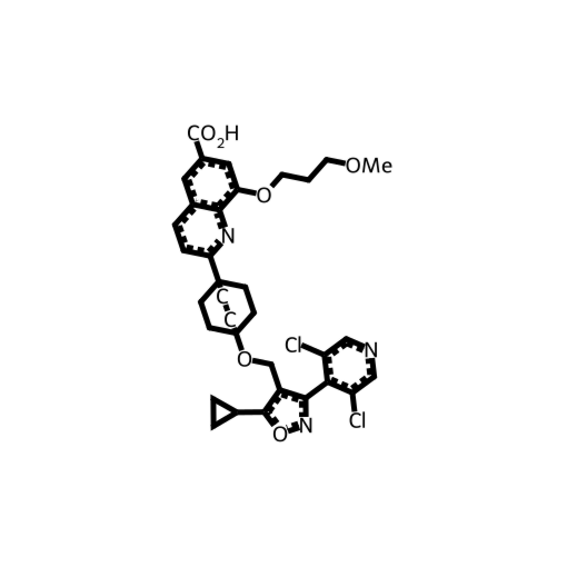 COCCCOc1cc(C(=O)O)cc2ccc(C34CCC(OCc5c(-c6c(Cl)cncc6Cl)noc5C5CC5)(CC3)CC4)nc12